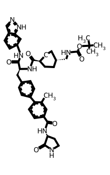 Cc1cc(C(=O)N[C@@H]2CCNC2=O)ccc1-c1ccc(C[C@H](NC(=O)[C@H]2CC[C@H](CNC(=O)OC(C)(C)C)CC2)C(=O)Nc2ccc3cn[nH]c3c2)cc1